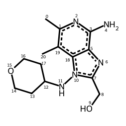 Cc1nc(N)c2nc(CO)n(NC3CCOCC3)c2c1C